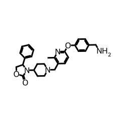 Cc1nc(Oc2ccc(CN)cc2)ccc1CN1CCC(N2C(=O)OCC2c2ccccc2)CC1